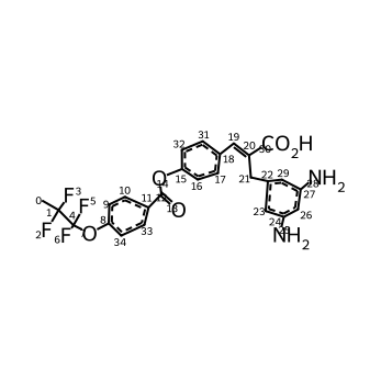 CC(F)(F)C(F)(F)Oc1ccc(C(=O)Oc2ccc(C=C(Cc3cc(N)cc(N)c3)C(=O)O)cc2)cc1